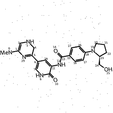 CNC1=CNCC(c2c[nH]c(=O)c(NC(=O)c3ccc(N4CCC[C@H]4CO)cc3)c2)=N1